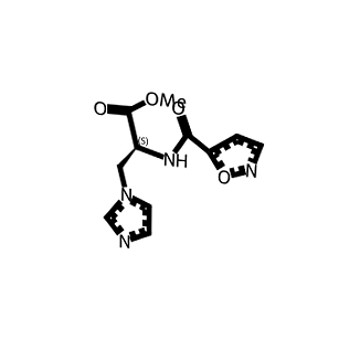 COC(=O)[C@H](Cn1ccnc1)NC(=O)c1ccno1